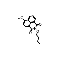 CCCCON1C(=O)c2cccc3c(OC)ccc(c23)C1=O